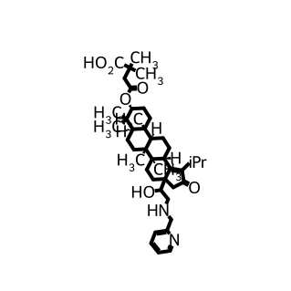 CC(C)C1=C2[C@H]3CC[C@@H]4[C@@]5(C)CC[C@H](OC(=O)CC(C)(C)C(=O)O)C(C)(C)[C@@H]5CC[C@@]4(C)[C@]3(C)CCC2(C(O)CNCc2ccccn2)CC1=O